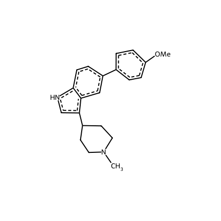 COc1ccc(-c2ccc3[nH]cc(C4CCN(C)CC4)c3c2)cc1